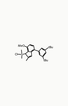 COc1ccc(-c2cc(C(C)(C)C)cc(C(C)(C)C)c2)c2c1C(S(C)(C)Cl)C(C)=C2